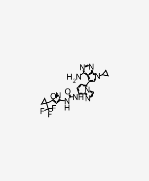 Nc1ncnc2c1c(-c1ccc(NC(=O)Nc3cc(C4(C(F)(F)F)CC4)on3)c3nccn13)cn2C1CC1